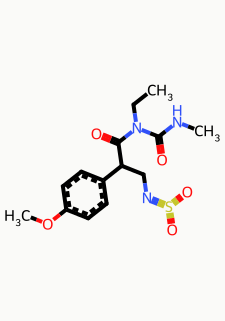 CCN(C(=O)NC)C(=O)C(CN=S(=O)=O)c1ccc(OC)cc1